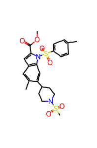 COC(=O)c1cc2cc(C)c(C3CCN(S(C)(=O)=O)CC3)cc2n1S(=O)(=O)c1ccc(C)cc1